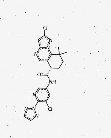 CC1(C)CC[C@H](C(=O)Nc2cnc(-n3nccn3)c(Cl)c2)c2cnc3cc(Cl)nn3c21